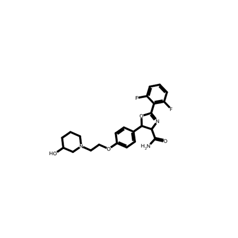 NC(=O)C1N=C(c2c(F)cccc2F)OC1c1ccc(OCCN2CCCC(O)C2)cc1